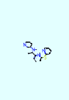 C=C(Sc1ccccn1)N(C)/C(=C\C)C(=C)N(C)c1cccnc1